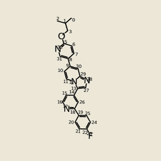 CC(C)COc1ccc(-c2ccn3c(-c4ccnc(-c5ccc(F)cc5)c4)cnc3c2)cn1